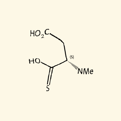 CN[C@@H](CC(=O)O)C(O)=S